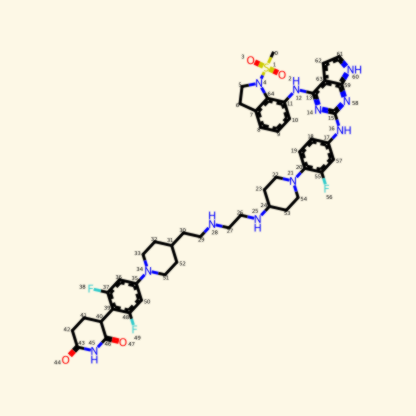 CS(=O)(=O)N1CCc2cccc(Nc3nc(Nc4ccc(N5CCC(NCCNCCC6CCN(c7cc(F)c(C8CCC(=O)NC8=O)c(F)c7)CC6)CC5)c(F)c4)nc4[nH]ccc34)c21